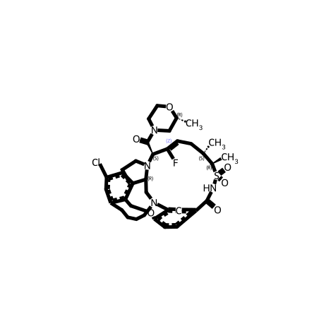 C[C@@H]1CN(C(=O)[C@H]2/C(F)=C/C[C@H](C)[C@@H](C)S(=O)(=O)NC(=O)c3ccc4c(c3)N3CCCCc5cc(Cl)cc(c5CO4)[C@]4(CCCN24)C3)CCO1